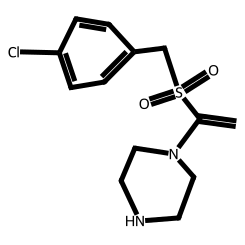 C=C(N1CCNCC1)S(=O)(=O)Cc1ccc(Cl)cc1